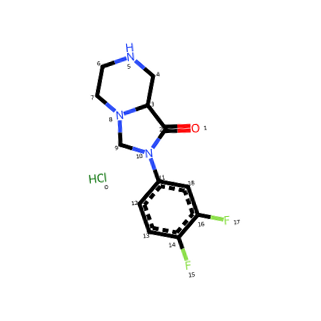 Cl.O=C1C2CNCCN2CN1c1ccc(F)c(F)c1